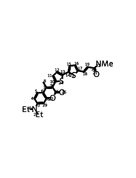 CCN(CC)c1ccc2c(C)c(-c3ccc(-c4ccc(/C=C/C(=O)NC)s4)s3)c(=O)oc2c1